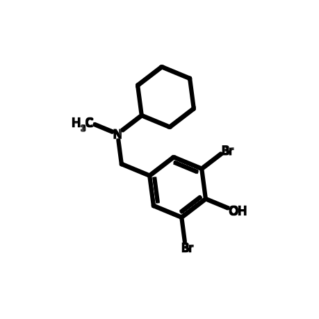 CN(Cc1cc(Br)c(O)c(Br)c1)C1CCCCC1